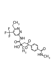 CCc1nnc(NC(=O)[C@@](C)(O)CS(=O)(=O)c2ccc(C(=O)NC)cc2)cc1C(F)(F)F